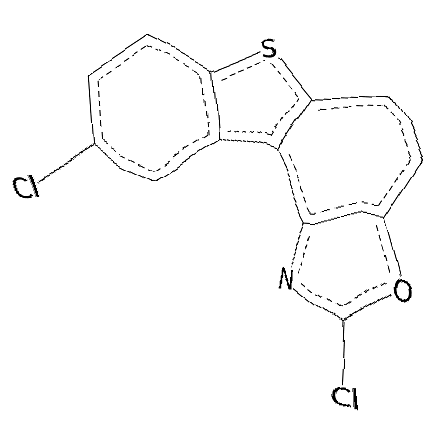 Clc1ccc2sc3ccc4oc(Cl)nc4c3c2c1